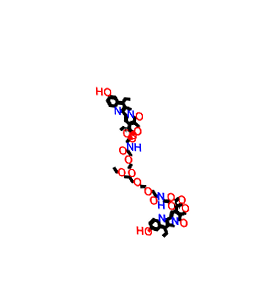 CCOCC(COCCOCC(=O)NCC(=O)O[C@]1(CC)C(=O)OCc2c1cc1n(c2=O)Cc2c-1nc1ccc(O)cc1c2CC)OCCOCC(=O)NCC(=O)O[C@]1(CC)C(=O)OCc2c1cc1n(c2=O)Cc2c-1nc1ccc(O)cc1c2CC